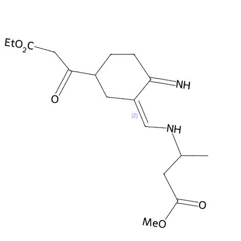 CCOC(=O)CC(=O)C1CCC(=N)/C(=C\NC(C)CC(=O)OC)C1